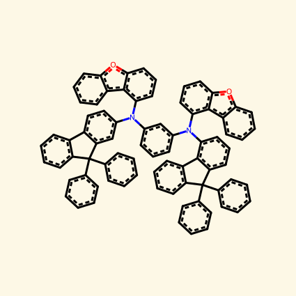 c1ccc(C2(c3ccccc3)c3ccccc3-c3ccc(N(c4cccc(N(c5cccc6c5-c5ccccc5C6(c5ccccc5)c5ccccc5)c5cccc6oc7ccccc7c56)c4)c4cccc5oc6ccccc6c45)cc32)cc1